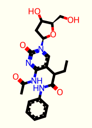 CCC(C(=O)Nc1ccccc1)c1cn([C@H]2CC(O)[C@@H](CO)O2)c(=O)nc1NC(C)=O